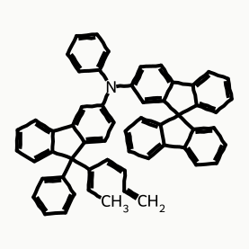 C=C/C=C\C(=C/C)C1(c2ccccc2)c2ccccc2-c2cc(N(c3ccccc3)c3ccc4c(c3)C3(c5ccccc5-c5ccccc53)c3ccccc3-4)ccc21